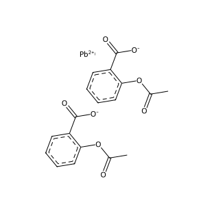 CC(=O)Oc1ccccc1C(=O)[O-].CC(=O)Oc1ccccc1C(=O)[O-].[Pb+2]